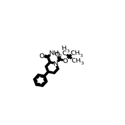 CC(C)(C)OC(=O)N1CCC(c2ccccc2)CC1C(N)=O